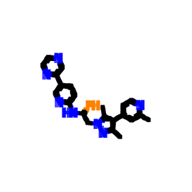 Cc1cc(-c2c(C)nn(CC(=P)Nc3ccc(-c4cnccn4)cn3)c2C)ccn1